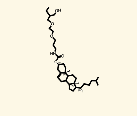 CCC(CO)COCCOCCCNC(=O)O[C@H]1CC[C@@]2(C)C(=CCC3C4CCC([C@@H](C)CCCC(C)C)[C@@]4(C)CCC32)C1